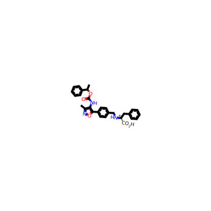 Cc1noc(-c2ccc(CN[C@H](Cc3ccccc3)C(=O)O)cc2)c1NC(=O)OC(C)c1ccccc1